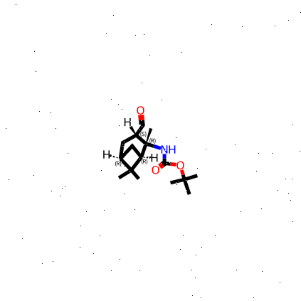 CC(C)(C)OC(=O)N[C@]1(C)[C@@H]2C[C@H](C[C@@H]1C=O)C2(C)C